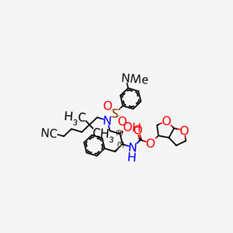 CNc1cccc(S(=O)(=O)N(C[C@@H](O)[C@H](Cc2ccccc2)NC(=O)OC2COC3OCCC23)CC(C)(C)CCCC#N)c1